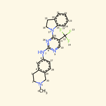 CN1CCc2cc(Nc3ncc(C(F)(F)F)c(N4CCc5ccccc54)n3)ccc2C1